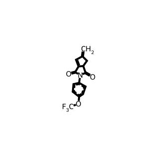 C=C1C=C2C(=O)N(c3ccc(OC(F)(F)F)cc3)C(=O)C2C1